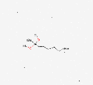 CCCCCCCCCCCCCC[Si](OCC)(OCC)C(C)(C)C